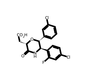 O=C(O)C[C@@H]1O[C@H](c2cccc(Cl)c2)[C@@H](c2ccc(Cl)cc2F)NC1=O